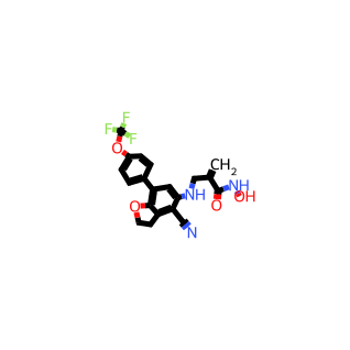 C=C(CNc1cc(-c2ccc(OC(F)(F)F)cc2)c2c(c1C#N)CCO2)C(=O)NO